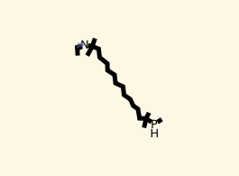 C/C=N\C(C)(C)CCCCCCCCCCCCC(C)(C)PC